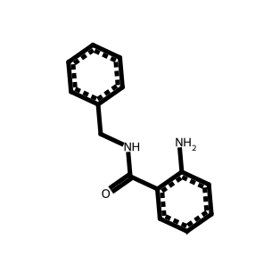 Nc1cc[c]cc1C(=O)NCc1ccccc1